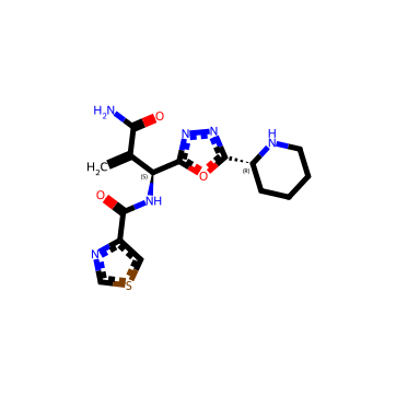 C=C(C(N)=O)[C@H](NC(=O)c1cscn1)c1nnc([C@H]2CCCCN2)o1